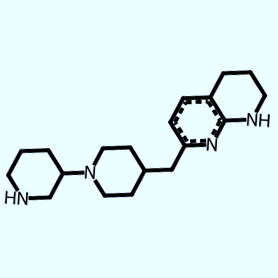 c1cc2c(nc1CC1CCN(C3CCCNC3)CC1)NCCC2